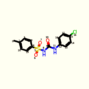 Cc1ccc(S(=O)(=O)NC(=O)Nc2ccc(Cl)cc2)cc1